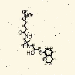 CC(C)(CNC(=O)CCCO[N+](=O)[O-])NCC(O)COc1cccc2c1OCCC2